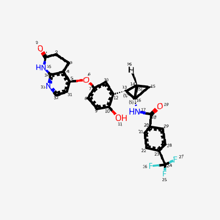 O=C1CCc2c(Oc3ccc(O)c([C@@H]4[C@@H]5C[C@@]45NC(=O)c4ccc(C(F)(F)F)cc4)c3)ccnc2N1